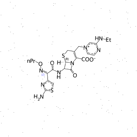 CCCO/N=C(\C(=O)NC1C(=O)N2C(C(=O)[O-])=C(C[n+]3ccnc(NCC)c3)CS[C@H]12)c1csc(N)n1